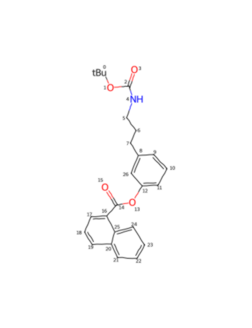 CC(C)(C)OC(=O)NCCCc1cccc(OC(=O)c2cccc3ccccc23)c1